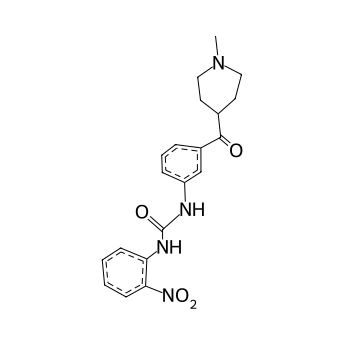 CN1CCC(C(=O)c2cccc(NC(=O)Nc3ccccc3[N+](=O)[O-])c2)CC1